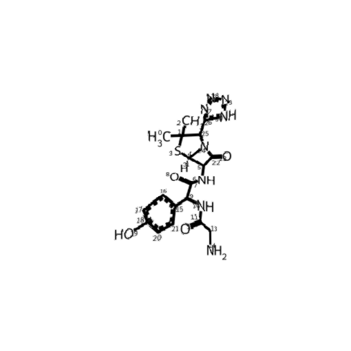 CC1(C)S[C@@H]2C(NC(=O)C(NC(=O)CN)c3ccc(O)cc3)C(=O)N2C1c1nnn[nH]1